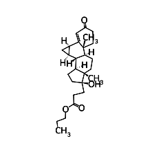 CCCOC(=O)CC[C@]1(O)CC[C@H]2[C@@H]3[C@H]4C[C@H]4C4=CC(=O)CC[C@]4(C)[C@H]3CC[C@@]21C